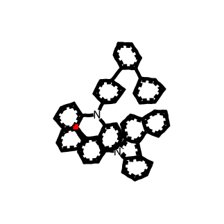 c1ccc(-c2ccccc2-c2ccc(N(c3ccccc3-c3ccccc3)c3ccccc3-c3cccc(-n4c5ccccc5c5c6ccccc6ccc54)c3)cc2)cc1